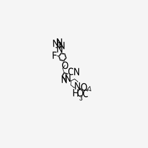 CC1(OC(=O)N2CCC(n3ncc(COc4ccc(-n5cnnn5)c(F)c4)c3C#N)CC2)CC1